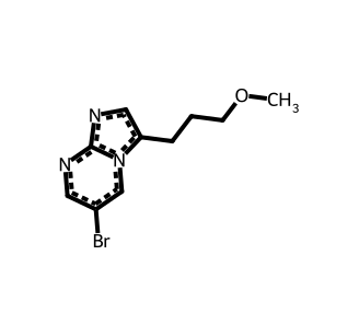 COCCCc1cnc2ncc(Br)cn12